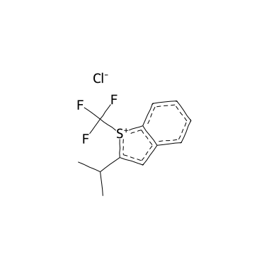 CC(C)c1cc2ccccc2[s+]1C(F)(F)F.[Cl-]